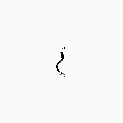 C=C[CH2][AlH2].[LiH]